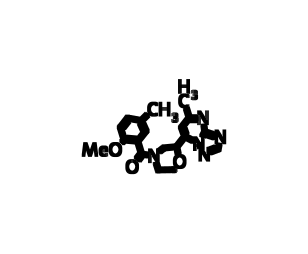 COc1ccc(C)cc1C(=O)N1CCOC(c2cc(C)nc3ncnn23)C1